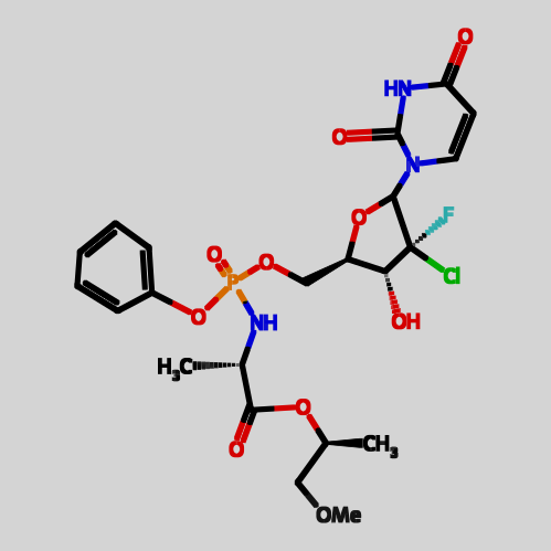 COC[C@H](C)OC(=O)[C@H](C)NP(=O)(OC[C@H]1OC(n2ccc(=O)[nH]c2=O)[C@@](F)(Cl)[C@@H]1O)Oc1ccccc1